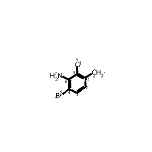 [CH2]c1ccc(Br)c(N)c1Cl